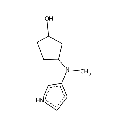 CN(c1cc[nH]c1)C1CCC(O)C1